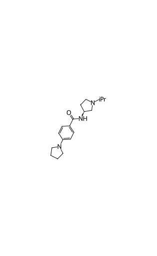 CC(C)N1CC[C@H](NC(=O)c2ccc(N3CCCC3)cc2)C1